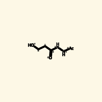 CC(=O)NNC(=O)CCO